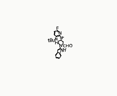 CN(c1nc(F)ccc1NC(C)(C)C)C1CCN(c2cc3ccccc3[nH]2)C(C=O)C1